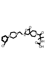 CC(C)(NC(=O)O)C(=O)N1CCC2(CC1)C[C@H](CCN1CCN(c3cccc(Cl)c3)CC1)OC2=O